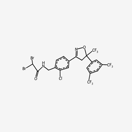 O=C(NCc1ccc(C2=NOC(c3cc(C(F)(F)F)cc(C(F)(F)F)c3)(C(F)(F)F)C2)cc1Cl)C(Br)Br